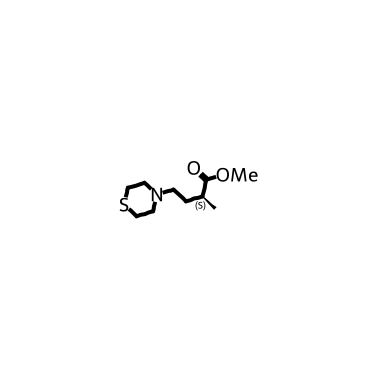 COC(=O)[C@@H](C)CCN1CCSCC1